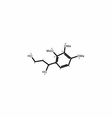 COc1ccc(C(O)CCO)c(OC)c1OC